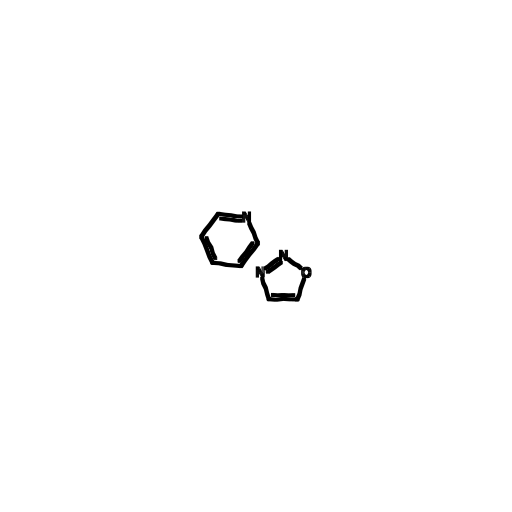 c1ccncc1.c1conn1